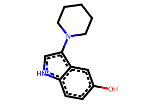 Oc1ccc2[nH]cc(N3CCCCC3)c2c1